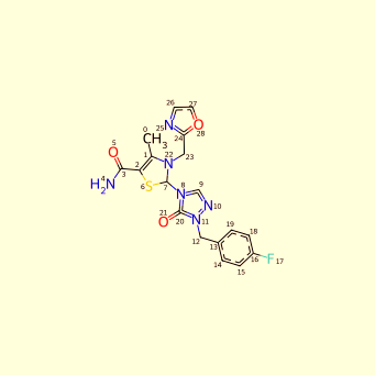 CC1=C(C(N)=O)SC(n2cnn(Cc3ccc(F)cc3)c2=O)N1Cc1ncco1